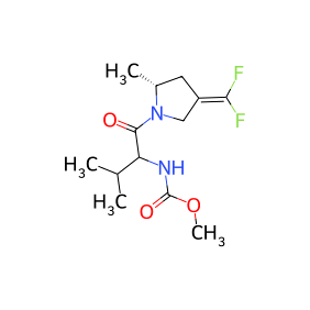 COC(=O)NC(C(=O)N1CC(=C(F)F)C[C@H]1C)C(C)C